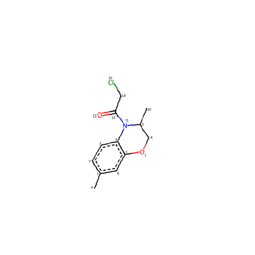 Cc1ccc2c(c1)OCC(C)N2C(=O)CCl